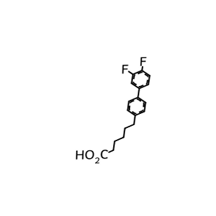 O=C(O)CCCCCc1ccc(-c2ccc(F)c(F)c2)cc1